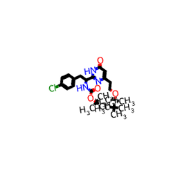 CC(C)(C)OC(=O)NC(Cc1ccc(Cl)cc1)c1nc(CCO[Si](C)(C)C(C)(C)C)cc(=O)[nH]1